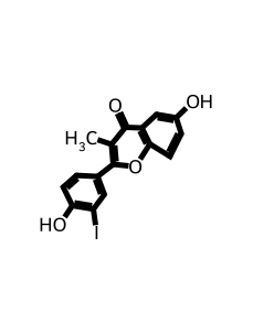 Cc1c(-c2ccc(O)c(I)c2)oc2ccc(O)cc2c1=O